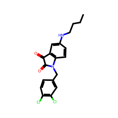 CCCCNc1ccc2c(c1)C(=O)C(=O)N2Cc1ccc(Cl)c(Cl)c1